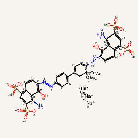 COC1(OC)CC(c2ccc(N=Nc3ccc4c(S(=O)(=O)[O-])cc(S(=O)(=O)[O-])c(N)c4c3O)cc2)=CC=C1N=Nc1ccc2c(S(=O)(=O)[O-])cc(S(=O)(=O)[O-])c(N)c2c1O.[Na+].[Na+].[Na+].[Na+]